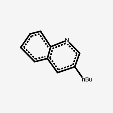 CCCCc1cnc2ccccc2c1